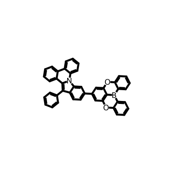 c1ccc(-c2c3ccc(-c4cc5c6c(c4)Oc4ccccc4B6c4ccccc4O5)cc3n3c4ccccc4c4ccccc4c23)cc1